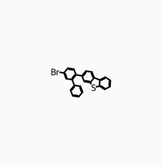 Brc1ccc(-c2ccc3c(c2)sc2ccccc23)c(-c2ccccc2)c1